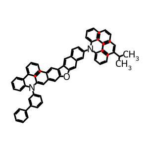 CC(C)c1ccc(-c2ccccc2N(c2ccc3cc4c(cc3c2)oc2cc3cc(N(c5cccc(-c6ccccc6)c5)c5ccccc5-c5ccccc5)ccc3cc24)c2ccccc2-c2ccccc2)cc1